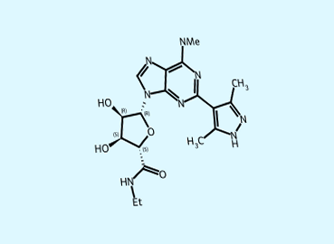 CCNC(=O)[C@H]1O[C@@H](n2cnc3c(NC)nc(-c4c(C)n[nH]c4C)nc32)[C@H](O)[C@@H]1O